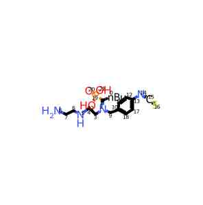 CCCCC(N(CCNCCN)Cc1ccc(N=C=S)cc1)P(=O)(O)O